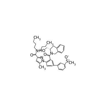 CCCCN(CCCC)C(=O)c1cc(C)n(-c2ccc(-c3cccc([S+](C)[O-])c3)cc2C(=O)N2Cc3ccccc3C[C@H]2CO)n1